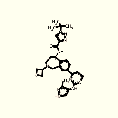 Cc1n[nH]cc1Nc1nccc(-c2ccc3c(c2)CN(C2COC2)CC[C@H]3NC(=O)c2cn(C(C)(C)C)nn2)n1